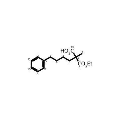 CCOC(=O)C(C)(CCCCc1ccccc1)C(=O)O